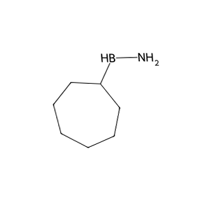 NBC1CCCCCC1